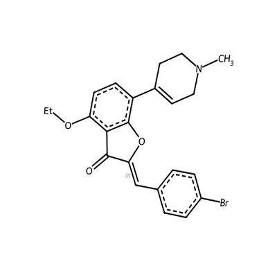 CCOc1ccc(C2=CCN(C)CC2)c2c1C(=O)/C(=C/c1ccc(Br)cc1)O2